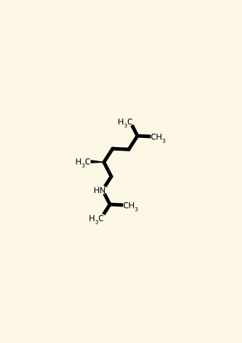 CC(C)CC[C@H](C)CNC(C)C